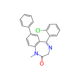 CN1C(=O)CN=C(c2ccccc2Cl)c2cc(-c3ccccc3)ccc21